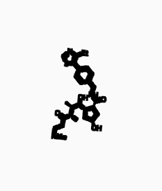 CCc1ncsc1-c1ccc(CNC(=O)[C@@H]2C[C@@H](O)CN2C(O)[C@H](C)N(C)C(=O)CCNC)cc1